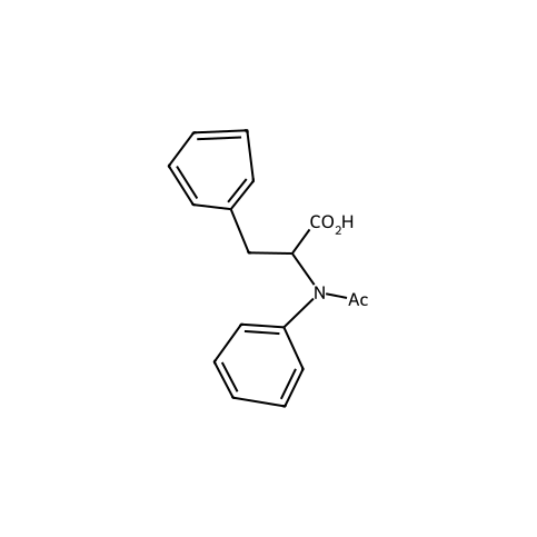 CC(=O)N(c1ccccc1)C(Cc1ccccc1)C(=O)O